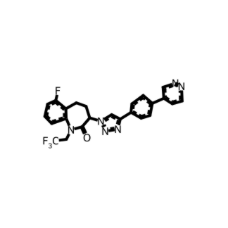 O=C1C(n2cc(-c3ccc(-c4ccnnc4)cc3)nn2)CCc2c(F)cccc2N1CC(F)(F)F